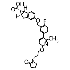 CC1=NC(OCCCN2CCCC2=O)CC=C1c1ccc(F)c(COc2ccc3c(c2)C[C@H]2[C@H](C(=O)O)[C@@H]32)c1